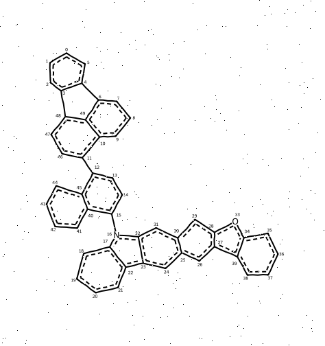 c1ccc2c(c1)-c1cccc3c(-c4ccc(-n5c6ccccc6c6cc7cc8c(cc7cc65)oc5ccccc58)c5ccccc45)ccc-2c13